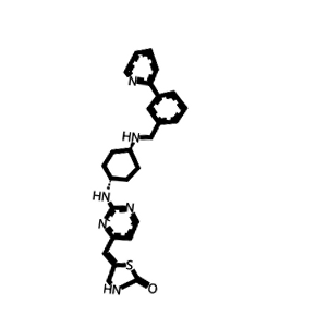 O=C1NC/C(=C/c2ccnc(N[C@H]3CC[C@H](NCc4cccc(-c5ccccn5)c4)CC3)n2)S1